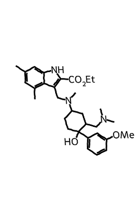 CCOC(=O)c1[nH]c2cc(C)cc(C)c2c1CN(C)C1CCC(O)(c2cccc(OC)c2)C(CN(C)C)C1